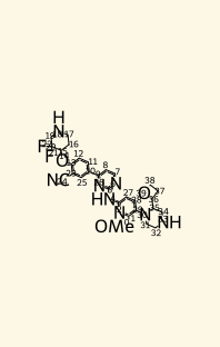 COc1nc(Nc2nccc(-c3ccc(OC4CCNCC4(F)F)c(C#N)c3)n2)ccc1N1CCNCC1C1CCO1